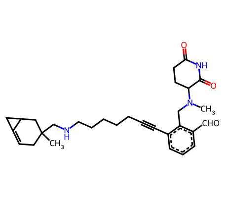 CN(Cc1c(C#CCCCCCNCC2(C)CC=C3CC3C2)cccc1C=O)C1CCC(=O)NC1=O